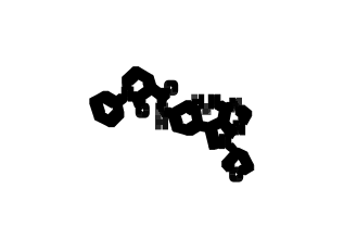 Nc1ncnc2c1c(-c1ccc(NC(=O)c3cccn(-c4ccccc4)c3=O)cc1)cn2[C@H]1CCOC1